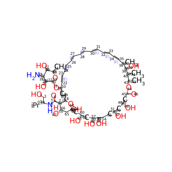 CC(C)[C@H](CO)NC(=O)[C@H]1[C@@H]2C[C@@H](O[C@@H]3O[C@H](C)[C@@H](O)[C@H](N)[C@@H]3O)/C=C/C=C/C=C/C=C/C=C/C=C/C=C/[C@H](C)[C@@H](O)[C@@H](C)[C@H](C)OC(=O)C[C@H](O)C[C@H](O)CC[C@@H](O)[C@H](O)C[C@H](O)C[C@](O)(C[C@@H]1O)O2